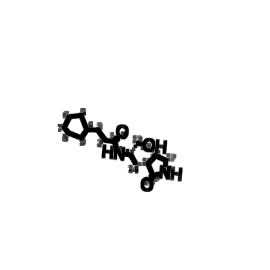 O=C(CCC1CCCCC1)N[C@H](CO)C[C@@H]1CCNC1=O